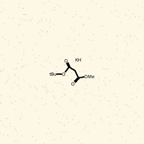 COC(=O)CC(=O)OC(C)(C)C.[KH]